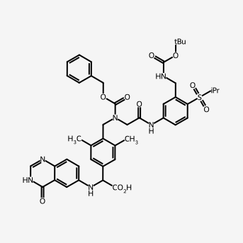 Cc1cc(C(Nc2ccc3nc[nH]c(=O)c3c2)C(=O)O)cc(C)c1CN(CC(=O)Nc1ccc(S(=O)(=O)C(C)C)c(CNC(=O)OC(C)(C)C)c1)C(=O)OCc1ccccc1